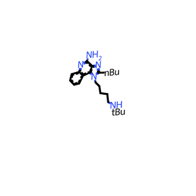 CCCCc1nc2c(N)nc3ccccc3c2n1CCCCCNC(C)(C)C